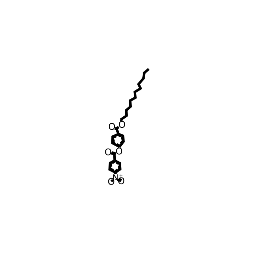 CCCCCCCCCCCCOC(=O)c1ccc(OC(=O)c2ccc([N+](=O)[O-])cc2)cc1